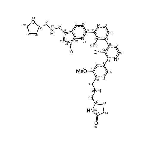 COc1cc(-c2nccc(-c3cccc(-c4ccc5c(CNC[C@@H]6CCCO6)cn(C)c5n4)c3Cl)c2Cl)ccc1CNC[C@H]1CCC(=O)N1